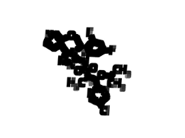 CC(C)O[C@@H](c1ncc(Cl)cn1)[C@H](C)S(=O)(=O)Nc1nnc2n1[C@@H](c1ccc(F)cc1F)COc1cnccc1-2